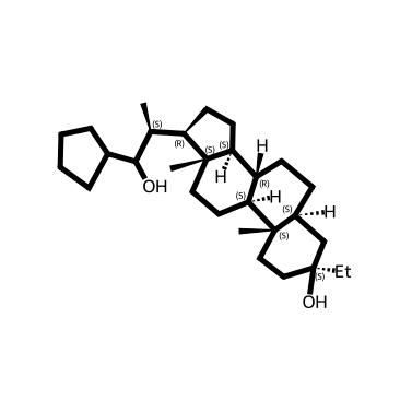 CC[C@]1(O)CC[C@@]2(C)[C@@H](CC[C@@H]3[C@@H]2CC[C@]2(C)[C@@H]([C@H](C)C(O)C4CCCC4)CC[C@@H]32)C1